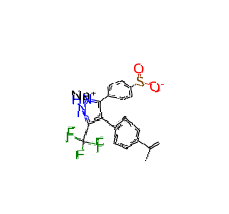 C=C(C)c1ccc(-c2c(C(F)(F)F)n[nH]c2-c2ccc(S(=O)[O-])cc2)cc1.[Na+]